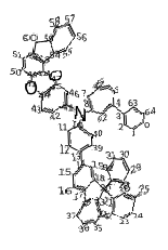 c1ccc(-c2cccc(N(c3ccc(-c4ccc5c(c4)C(c4ccccc4)(c4ccccc4)c4ccccc4-5)cc3)c3ccc4c(c3)Oc3c(ccc5c3-c3ccccc3C5)O4)c2)cc1